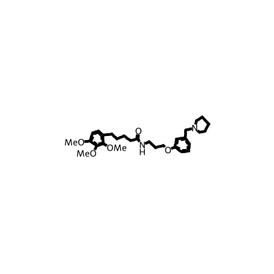 COc1ccc(CCCCC(=O)NCCCOc2cccc(CN3CCCCC3)c2)c(OC)c1OC